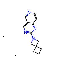 c1cc2nc(N3CC4(CCC4)C3)ncc2cn1